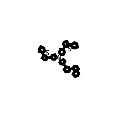 c1cc(-c2ccc(N(c3ccc(-c4cccc5c4sc4ccccc45)cc3)c3ccc(-c4cccc5c4sc4ccccc45)cc3)cc2)cc(-c2cccc3ccccc23)c1